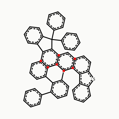 c1ccc(-c2ccccc2-c2c(-c3ccccc3)cccc2N(c2ccc3c(c2)C(c2ccccc2)(c2ccccc2)c2ccccc2-3)c2cccc3sc4ccccc4c23)cc1